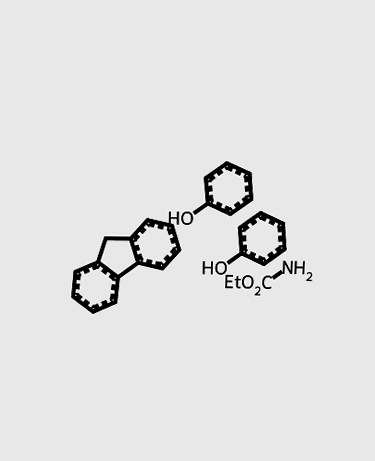 CCOC(N)=O.Oc1ccccc1.Oc1ccccc1.c1ccc2c(c1)Cc1ccccc1-2